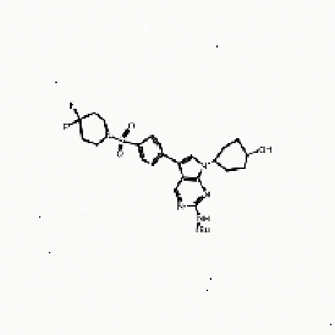 CCCCNc1ncc2c(-c3ccc(S(=O)(=O)N4CCC(F)(F)CC4)cc3)cn([C@H]3CC[C@H](O)CC3)c2n1